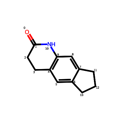 O=C1CCc2cc3c(cc2N1)CCC3